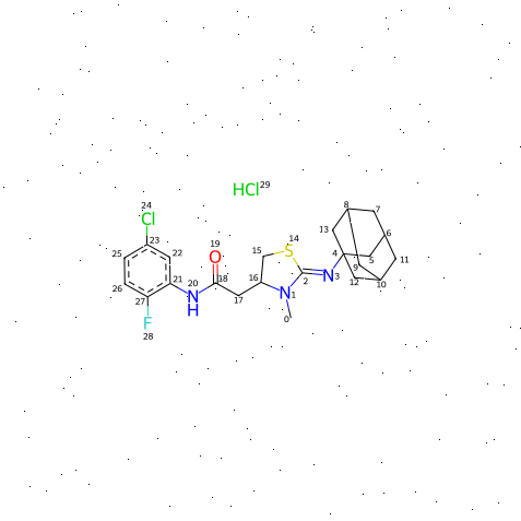 CN1C(=NC23CC4CC(CC(C4)C2)C3)SCC1CC(=O)Nc1cc(Cl)ccc1F.Cl